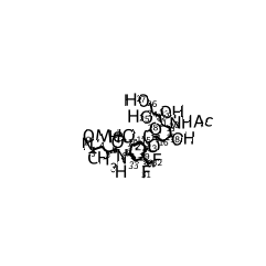 CO/N=C(/C)CCC(=O)Nc1ccc(OC2(C(=O)O)CC(O)C(NC(C)=O)C(C(O)C(O)CO)O2)c(C(F)F)c1